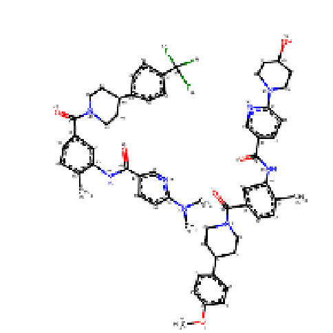 COc1ccc(C2CCN(C(=O)c3ccc(C)c(NC(=O)c4ccc(N5CCC(O)CC5)nc4)c3)CC2)cc1.Cc1ccc(C(=O)N2CCC(c3ccc(C(F)(F)F)cc3)CC2)cc1NC(=O)c1ccc(N(C)C)nc1